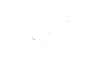 C#CC(=O)Nc1ccnc(-c2nccc3cnc(Nc4ccc(NC5CN(CCF)C5)nc4)nc23)c1